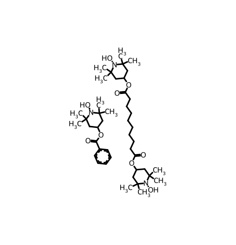 CC1(C)CC(OC(=O)CCCCCCCCC(=O)OC2CC(C)(C)N(O)C(C)(C)C2)CC(C)(C)N1O.CC1(C)CC(OC(=O)c2ccccc2)CC(C)(C)N1O